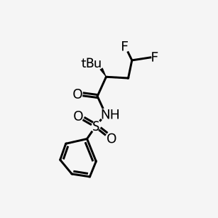 CC(C)(C)[C@@H](CC(F)F)C(=O)NS(=O)(=O)c1ccccc1